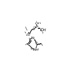 Cc1ncc[nH]1.OP(O)O